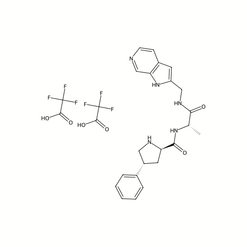 C[C@H](NC(=O)[C@H]1C[C@H](c2ccccc2)CN1)C(=O)NCc1cc2ccncc2[nH]1.O=C(O)C(F)(F)F.O=C(O)C(F)(F)F